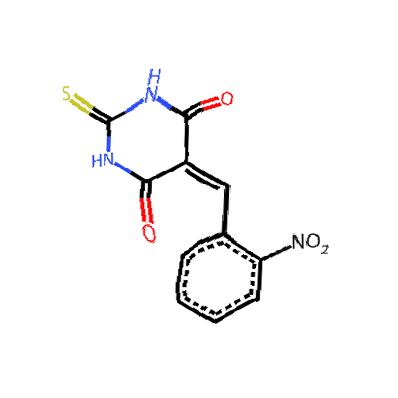 O=C1NC(=S)NC(=O)C1=Cc1ccccc1[N+](=O)[O-]